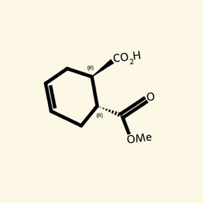 COC(=O)[C@@H]1CC=CC[C@H]1C(=O)O